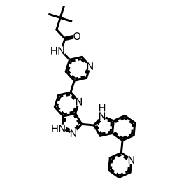 CC(C)(C)CC(=O)Nc1cncc(-c2ccc3[nH]nc(-c4cc5c(-c6ccccn6)cccc5[nH]4)c3n2)c1